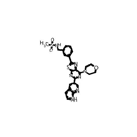 CS(=O)(=O)NCc1cccc(-c2nc3c(N4CCOCC4)nc(-c4cnc5[nH]ccc5c4)nc3s2)c1